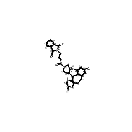 O=C(CCCN1C(=O)c2ccccc2C1=O)N1CCC(C2c3ncc(Br)cc3CCc3cc(Cl)cc(Br)c32)CC1